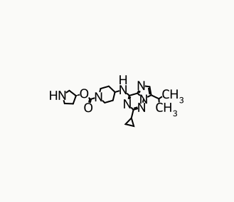 CC(C)c1cnc2c(NC3CCN(C(=O)O[C@H]4CCNC4)CC3)nc(C3CC3)nn12